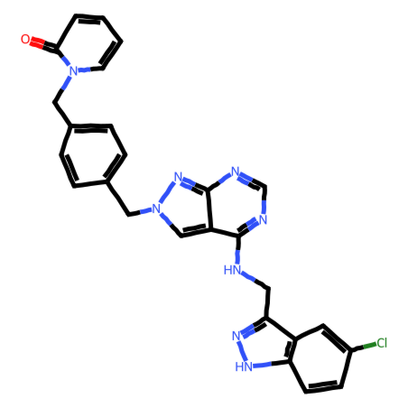 O=c1ccccn1Cc1ccc(Cn2cc3c(NCc4n[nH]c5ccc(Cl)cc45)ncnc3n2)cc1